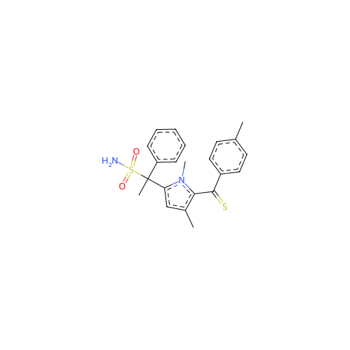 Cc1ccc(C(=S)c2c(C)cc(C(C)(c3ccccc3)S(N)(=O)=O)n2C)cc1